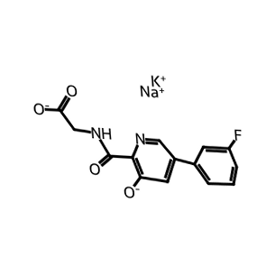 O=C([O-])CNC(=O)c1ncc(-c2cccc(F)c2)cc1[O-].[K+].[Na+]